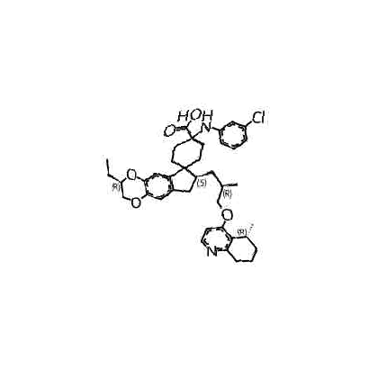 CC[C@@H]1COc2cc3c(cc2O1)C1(CCC(Nc2cccc(Cl)c2)(C(=O)O)CC1)[C@@H](C[C@@H](C)COc1ccnc2c1[C@H](C)CCC2)C3